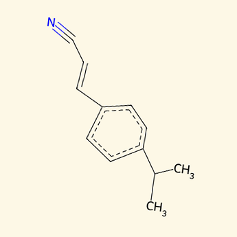 CC(C)c1ccc(C=CC#N)cc1